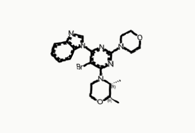 C[C@@H]1[C@@H](C)OCCN1c1nc(N2CCOCC2)nc(-n2cnc3ccccc32)c1Br